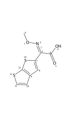 CO/N=C(/C(=O)O)c1cc2ccsc2s1